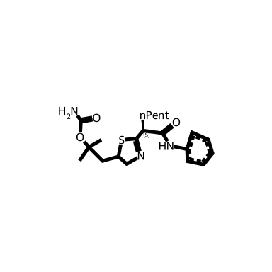 CCCCC[C@@H](C(=O)Nc1ccccc1)C1=NCC(CC(C)(C)OC(N)=O)S1